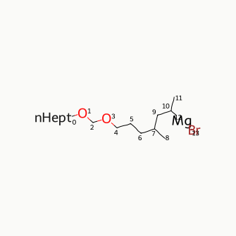 CCCCCCCOCOCCCC(C)C[CH](C)[Mg][Br]